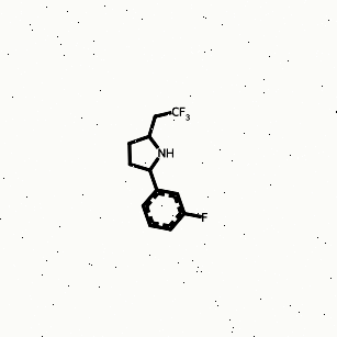 Fc1cccc(C2CCC(CC(F)(F)F)N2)c1